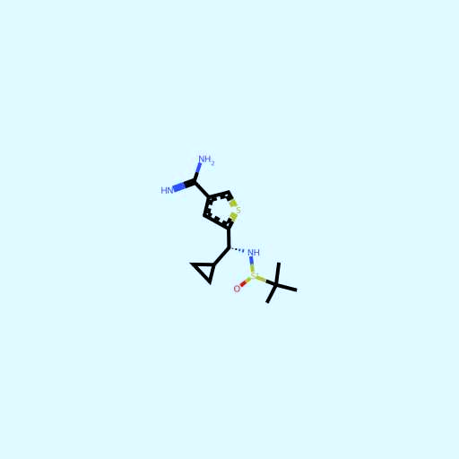 CC(C)(C)[S+]([O-])N[C@@H](c1cc(C(=N)N)cs1)C1CC1